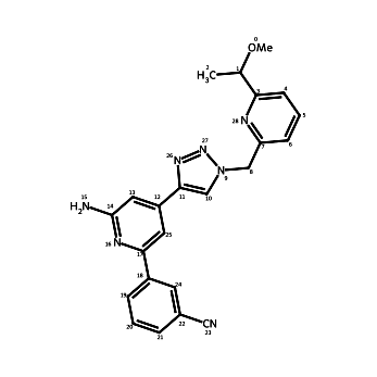 COC(C)c1cccc(Cn2cc(-c3cc(N)nc(-c4cccc(C#N)c4)c3)nn2)n1